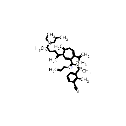 C=CC/N=C(/N[C@H](C)c1cccc(C#N)c1C)C1=CC(C(=C)CC[C@H](C)N(CC)CCC)C(=C)CC=C1C(=C)C